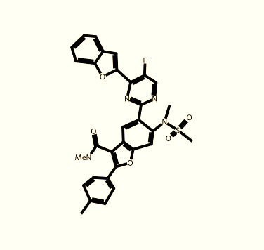 CNC(=O)c1c(-c2ccc(C)cc2)oc2cc(N(C)S(C)(=O)=O)c(-c3ncc(F)c(-c4cc5ccccc5o4)n3)cc12